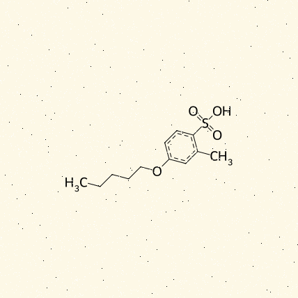 CCCCCOc1ccc(S(=O)(=O)O)c(C)c1